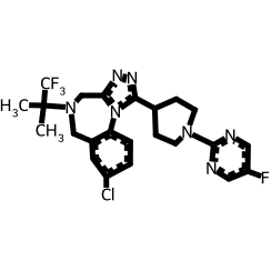 CC(C)(N1Cc2cc(Cl)ccc2-n2c(nnc2C2CCN(c3ncc(F)cn3)CC2)C1)C(F)(F)F